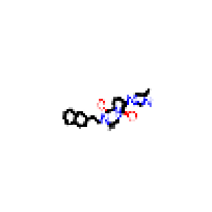 Cc1cn(-c2ccc3n(c2=O)C[C@@H](C)N(CCc2ccc4ccccc4c2)C3=O)cn1